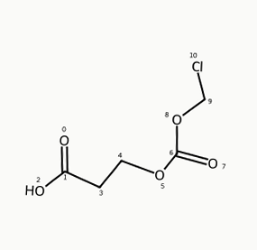 O=C(O)CCOC(=O)OCCl